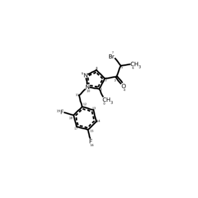 Cc1c(C(=O)C(C)Br)cnn1Cc1ccc(F)cc1F